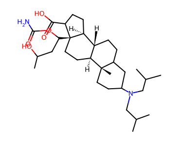 CC(C)CN(CC(C)C)C1CC[C@@]2(C)C(CC[C@H]3[C@@H]4CCC(C(=O)O)[C@@]4(C(CC(C)O)OC(N)=O)CC[C@@H]32)C1